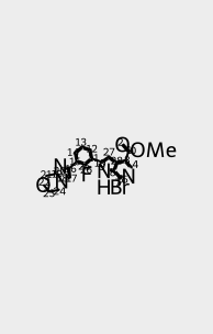 COC(=O)c1cnc(Br)c2[nH]c(-c3cccc(-c4cn5c(n4)COCC5)c3F)cc12